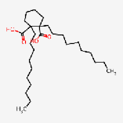 CCCCCCCCCCC1(C(=O)O)CCCCC1(CCCCCCCCCC)C(=O)O